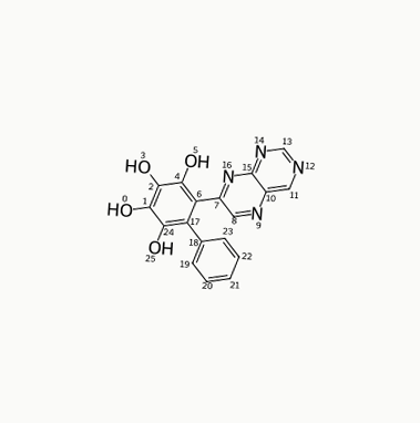 Oc1c(O)c(O)c(-c2cnc3cncnc3n2)c(-c2ccccc2)c1O